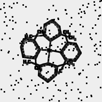 Cc1cccc(C)[c]1[Sn]([c]1c(C)cccc1C)([c]1c(C)cccc1C)[c]1c(C)cccc1C